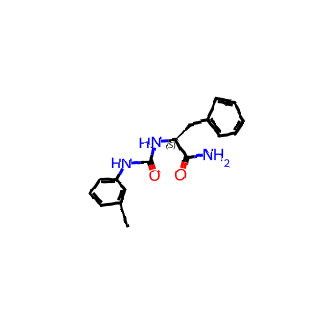 Cc1cccc(NC(=O)N[C@@H](Cc2ccccc2)C(N)=O)c1